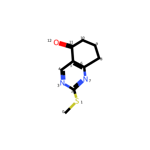 CSc1ncc2c(n1)CCCC2=O